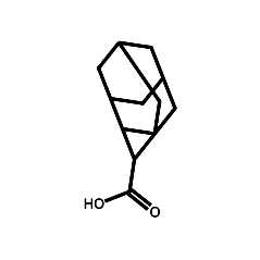 O=C(O)C1C2C3CC4CC(C3)CC12C4